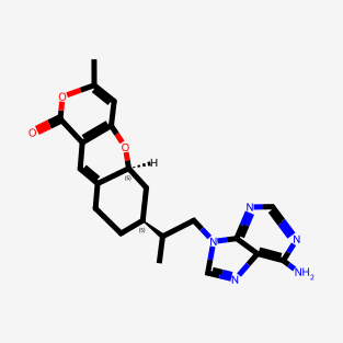 Cc1cc2c(c(=O)o1)C=C1CC[C@H](C(C)Cn3cnc4c(N)ncnc43)C[C@@H]1O2